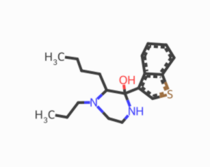 CCCCC1N(CCC)CCNC1(O)c1csc2ccccc12